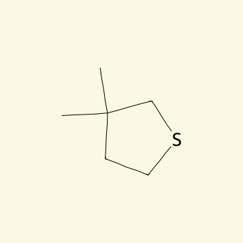 CC1(C)CCSC1